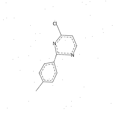 Cc1ccc(-c2nccc(Cl)n2)cc1